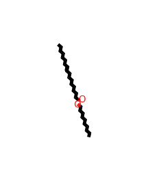 CCCCCCCC=CCCCCCCCCC(=O)OCCCCCCCCCC